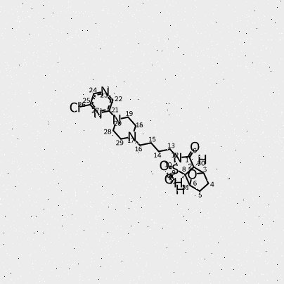 O=C1[C@H]2C3CC[C@H](O3)[C@H]2S(=O)(=O)N1CCCCN1CCN(c2cncc(Cl)n2)CC1